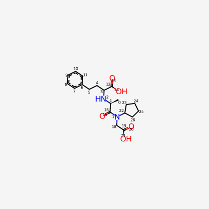 C[C@H](NC(CCc1ccccc1)C(=O)O)C(=O)N(CC(=O)O)C1CCCC1